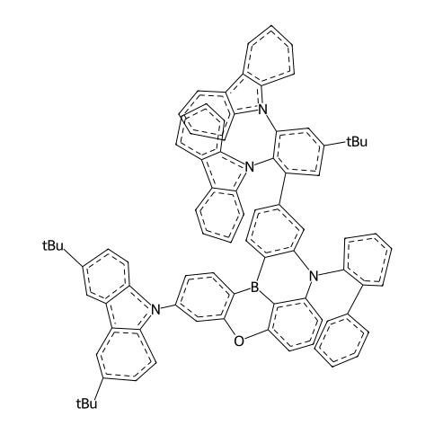 CC(C)(C)c1cc(-c2ccc3c(c2)N(c2ccccc2-c2ccccc2)c2cccc4c2B3c2ccc(-n3c5ccc(C(C)(C)C)cc5c5cc(C(C)(C)C)ccc53)cc2O4)c(-n2c3ccccc3c3ccccc32)c(-n2c3ccccc3c3ccccc32)c1